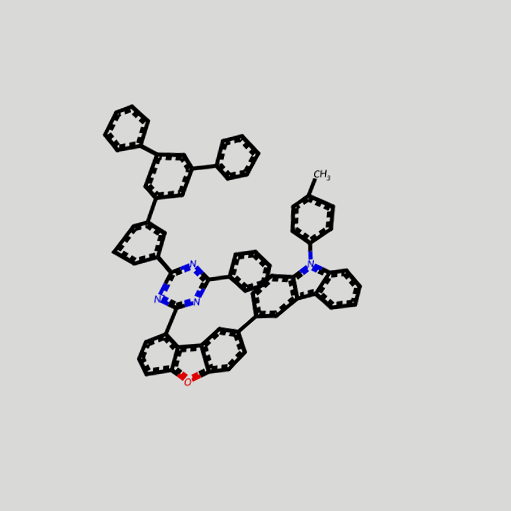 Cc1ccc(-n2c3ccccc3c3cc(-c4ccc5oc6cccc(-c7nc(-c8ccccc8)nc(-c8cccc(-c9cc(-c%10ccccc%10)cc(-c%10ccccc%10)c9)c8)n7)c6c5c4)ccc32)cc1